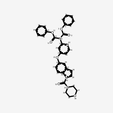 O=C(Oc1ccccc1)N(C(=O)Oc1ccccc1)c1cc(Oc2ccc3c(ccn3C(=O)N3CCOCC3)c2)ccn1